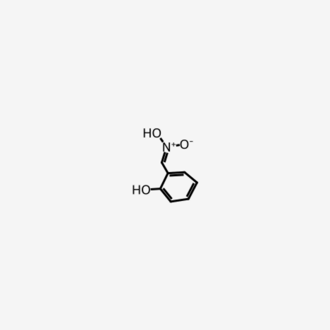 [O-]/[N+](O)=C\c1ccccc1O